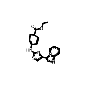 CCOC(=O)C1C=CC(Nc2nc(-c3cnc4ccccn34)cs2)=CC1